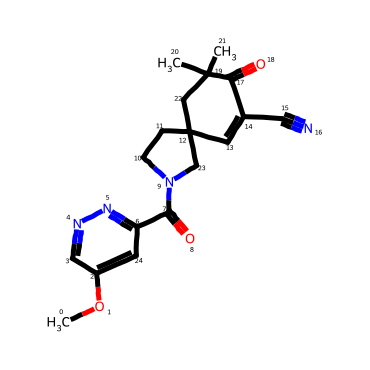 COc1cnnc(C(=O)N2CCC3(C=C(C#N)C(=O)C(C)(C)C3)C2)c1